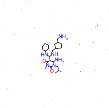 CC(C)CN1C(=O)N(C)C(=O)C(C(NCC2CCCC(CN)C2)NC2CCCCC2)C1N